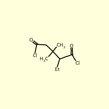 CCC(C(=O)Cl)C(C)(C)CC(=O)Cl